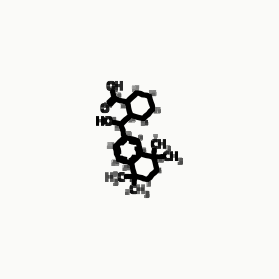 CC1(C)CCC(C)(C)c2cc(C(O)C3CCCCC3C(=O)O)ccc21